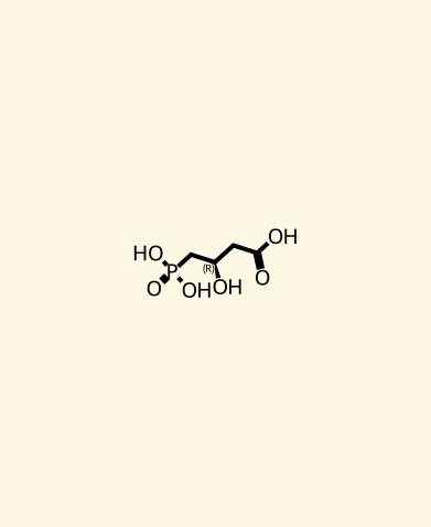 O=C(O)C[C@@H](O)CP(=O)(O)O